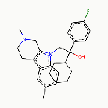 Cc1ccc2c(c1)c1c(n2CC(O)(c2ccc(F)cc2)C2CCCCC2)CN(C)CC1